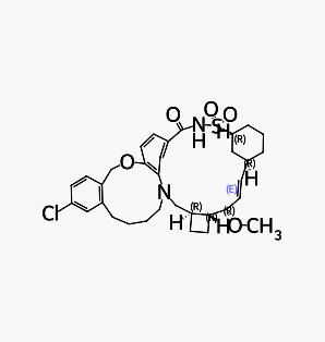 CO[C@H]1/C=C/[C@@H]2CCC[C@H](C2)S(=O)(=O)NC(=O)c2ccc3c(c2)N(CCCCc2cc(Cl)ccc2CO3)C[C@@H]2CC[C@H]21